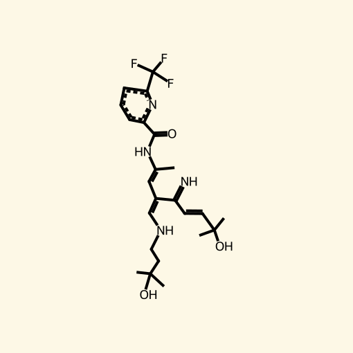 C/C(=C\C(=C\NCCC(C)(C)O)C(=N)/C=C/C(C)(C)O)NC(=O)c1cccc(C(F)(F)F)n1